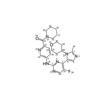 Cc1ncc(-c2nc(Nc3ccc(C(=O)N4CCCCC4)nc3)ncc2F)n1C1CCOCC1